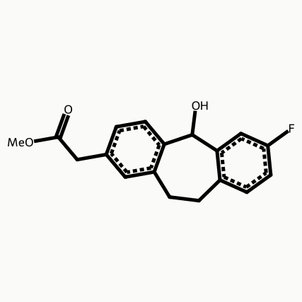 COC(=O)Cc1ccc2c(c1)CCc1ccc(F)cc1C2O